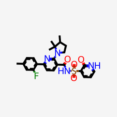 Cc1ccc(-c2ccc(C(=O)NS(=O)(=O)c3ccc[nH]c3=O)c(N3CCC(C)C3(C)C)n2)c(F)c1